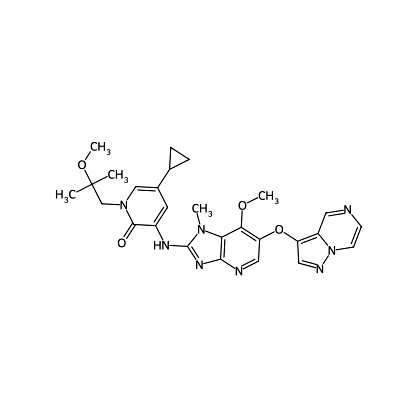 COc1c(Oc2cnn3ccncc23)cnc2nc(Nc3cc(C4CC4)cn(CC(C)(C)OC)c3=O)n(C)c12